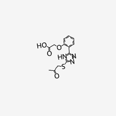 CC(=O)CSc1nnc(-c2ccccc2OCC(=O)O)[nH]1